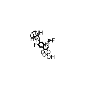 O=C(O)Oc1cn([C@@H]2C[C@@H]2F)c2cc(N3C[C@@H]4NCCO[C@H]4C3)c(F)cc2c1=O